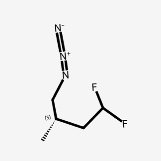 C[C@H](CN=[N+]=[N-])CC(F)F